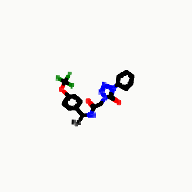 C[C@H](NC(=O)Cn1nnn(-c2ccccc2)c1=O)c1ccc(OC(F)(F)F)cc1